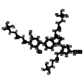 CCc1cc(OCOCC[Si](C)(C)C)c(F)cc1-c1ccc2c(-c3nc(C=O)cn3COCC[Si](C)(C)C)nn(COCC[Si](C)(C)C)c2c1